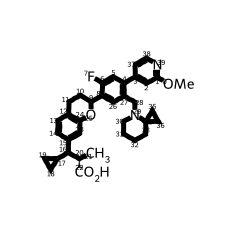 COc1cc(-c2cc(F)c(C3CCc4ccc(C(C5CC5)[C@H](C)C(=O)O)cc4O3)cc2CN2CCCCC23CC3)ccn1